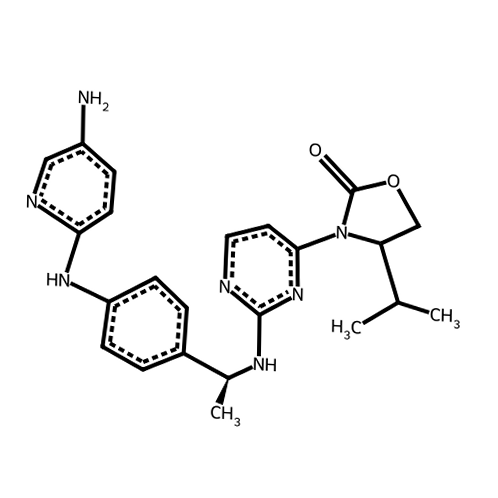 CC(C)C1COC(=O)N1c1ccnc(N[C@@H](C)c2ccc(Nc3ccc(N)cn3)cc2)n1